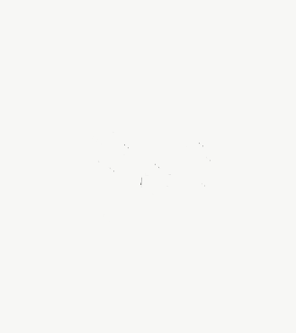 Cc1nn2cccnc2c1C(=O)N[C@@H](C)c1nc2cccc(Cl)c2c(=O)n1-c1ccccc1